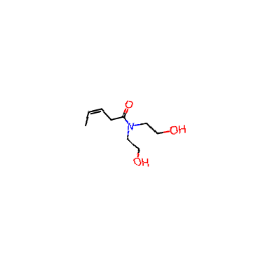 C/C=C\CC(=O)N(CCO)CCO